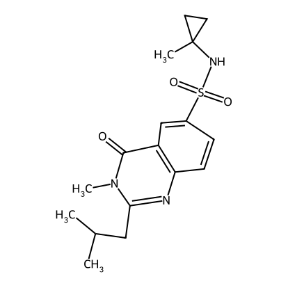 CC(C)Cc1nc2ccc(S(=O)(=O)NC3(C)CC3)cc2c(=O)n1C